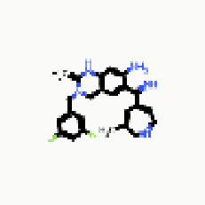 C=C1Nc2cc(N)c(C(=N)C3=CC=NCC(C)=C3)cc2CN1Cc1cc(F)cc(F)c1